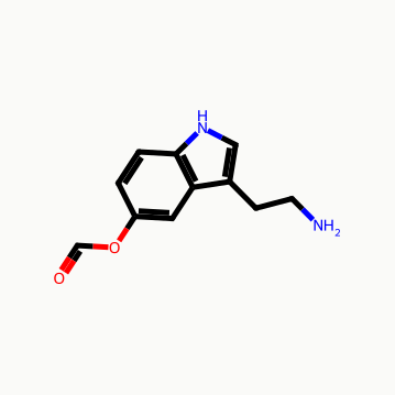 NCCc1c[nH]c2ccc(OC=O)cc12